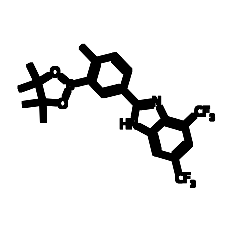 Cc1ccc(-c2nc3c(C(F)(F)F)cc(C(F)(F)F)cc3[nH]2)cc1B1OC(C)(C)C(C)(C)O1